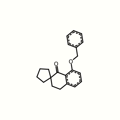 O=C1c2c(cccc2OCc2ccccc2)CCC12CCCC2